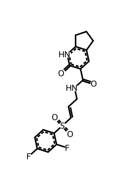 O=C(NC/C=C/S(=O)(=O)c1ccc(F)cc1F)c1cc2c([nH]c1=O)CCC2